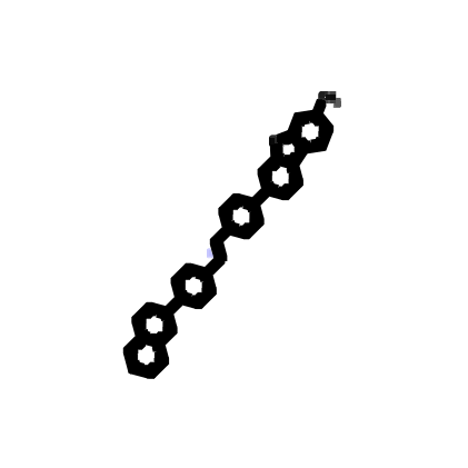 Cc1ccc2c(c1)oc1cc(-c3ccc(/C=C/c4ccc(-c5ccc6ccccc6c5)cc4)cc3)ccc12